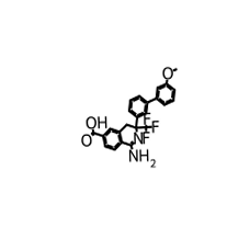 COc1cccc(-c2cccc(C3(C(F)(F)F)Cc4cc(C(=O)O)ccc4C(N)=N3)c2)c1